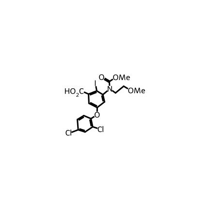 COCCN(C(=O)OC)c1cc(Oc2ccc(Cl)cc2Cl)cc(C(=O)O)c1I